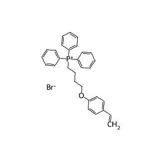 C=Cc1ccc(OCCCC[P+](c2ccccc2)(c2ccccc2)c2ccccc2)cc1.[Br-]